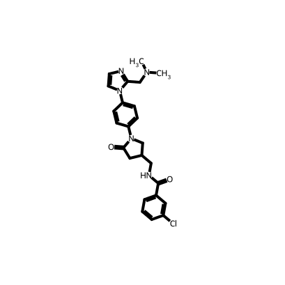 CN(C)Cc1nccn1-c1ccc(N2CC(CNC(=O)c3cccc(Cl)c3)CC2=O)cc1